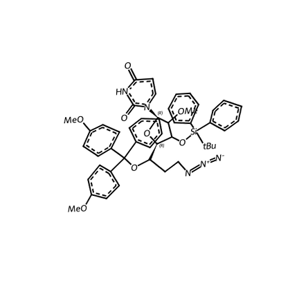 COc1ccc(C(OC(CCN=[N+]=[N-])[C@H]2O[C@@H](n3ccc(=O)[nH]c3=O)C(OC)C2O[Si](c2ccccc2)(c2ccccc2)C(C)(C)C)(c2ccccc2)c2ccc(OC)cc2)cc1